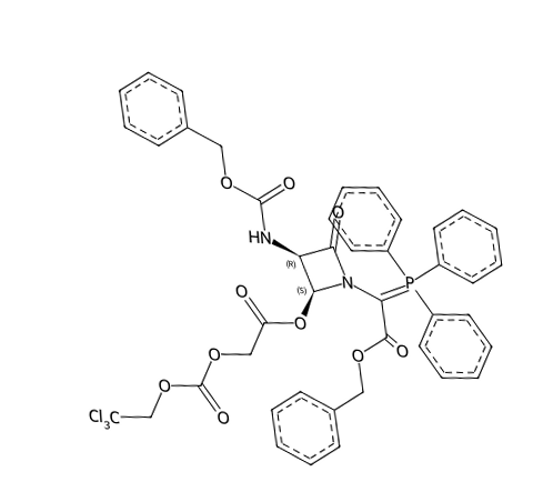 O=C(COC(=O)OCC(Cl)(Cl)Cl)O[C@H]1[C@@H](NC(=O)OCc2ccccc2)C(=O)N1C(C(=O)OCc1ccccc1)=P(c1ccccc1)(c1ccccc1)c1ccccc1